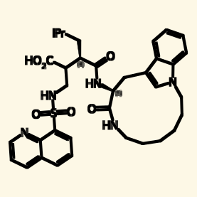 CC(C)C[C@@H](C(=O)N[C@H]1Cc2cn(c3ccccc23)CCCCCCNC1=O)C(CNS(=O)(=O)c1cccc2cccnc12)C(=O)O